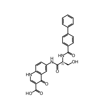 O=C(N[C@@H](CO)C(=O)Nc1ccc2[nH]cc(C(=O)O)c(=O)c2c1)c1ccc(-c2ccccc2)cc1